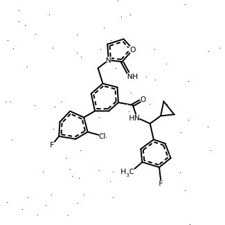 Cc1cc(C(NC(=O)c2cc(Cn3ccoc3=N)cc(-c3ccc(F)cc3Cl)c2)C2CC2)ccc1F